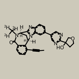 [2H]C([2H])([2H])N1C(=O)c2cccc(C#CC)c2[C@H]2C[C@@H]1c1nc3ccc(-c4cnc(C5(O)CCOC5)nc4)cc3n12